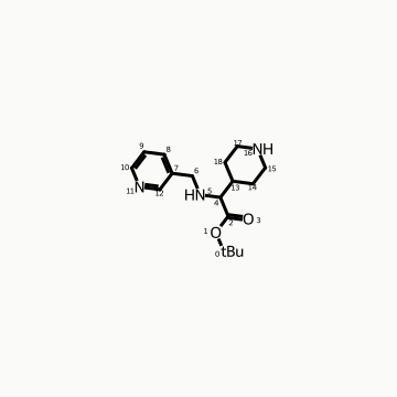 CC(C)(C)OC(=O)C(NCc1cccnc1)C1CCNCC1